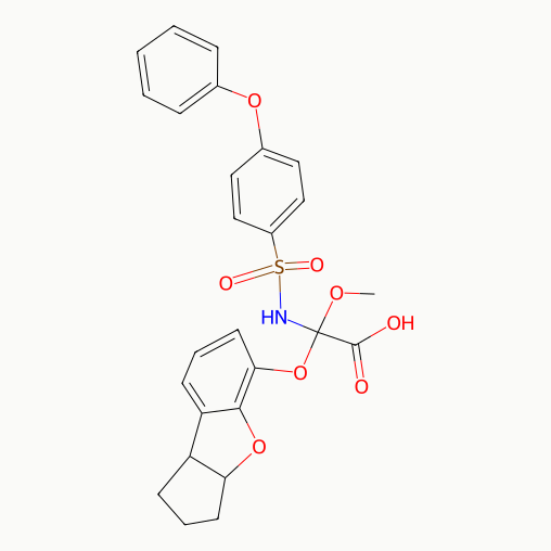 COC(NS(=O)(=O)c1ccc(Oc2ccccc2)cc1)(Oc1cccc2c1OC1CCCC21)C(=O)O